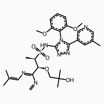 C=N/C(=N\C=C(C)C)[C@H](OCC(C)(C)O)[C@@H](C)S(=O)(=O)Nc1nnc(-c2cncc(C)c2)n1-c1c(OC)cccc1OC